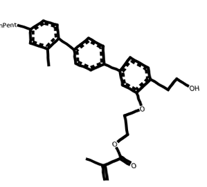 C=C(C)C(=O)OCCOc1cc(-c2ccc(-c3ccc(CCCCC)cc3C)cc2)ccc1CCO